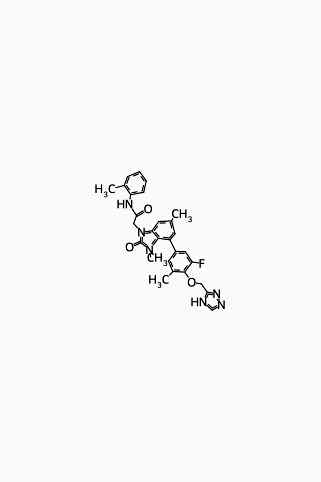 Cc1cc(-c2cc(C)c(OCc3nnc[nH]3)c(F)c2)c2c(c1)n(CC(=O)Nc1ccccc1C)c(=O)n2C